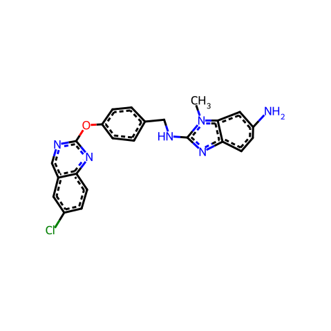 Cn1c(NCc2ccc(Oc3ncc4cc(Cl)ccc4n3)cc2)nc2ccc(N)cc21